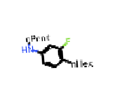 CCCCCCc1ccc(NCCCCC)cc1F